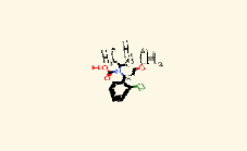 COCC[C@H](c1ccccc1Cl)N(C(=O)O)C(C)C